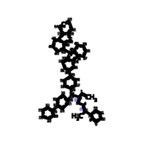 C=C/C(=C\C=C(/C)c1ccccc1)N(c1ccc(-c2ccccc2)cc1)c1ccc(-c2ccc3c(c2)c2ccccc2n3-c2cccc3c2sc2ccccc23)cc1